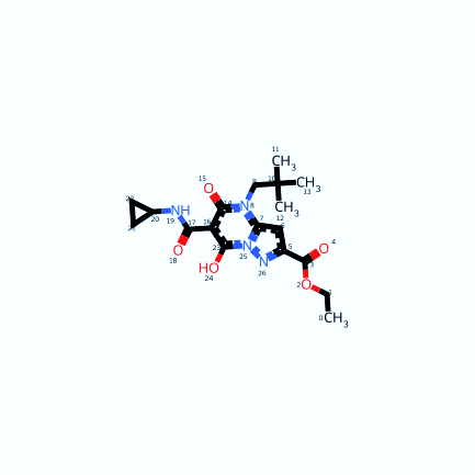 CCOC(=O)c1cc2n(CC(C)(C)C)c(=O)c(C(=O)NC3CC3)c(O)n2n1